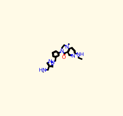 CCNC1=C=CC2=C(C=N1)C(=O)N(c1cccc(Cn3cc(CNC)cn3)c1)CCN2C